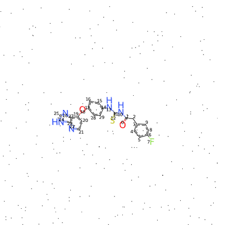 O=C(Cc1ccc(F)cc1)NC(=S)Nc1ccc(Oc2ccnc3[nH]cnc23)cc1